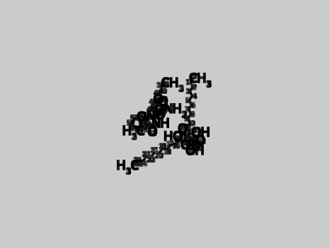 CCCCCCCCCCCCCC(CCCCCCCCCCCCC)(C(=O)O)C(C(=O)O)S(=O)(=O)O.CCCCOCC(CN1C(=O)NC(=O)C(CC)(c2ccccc2)C1=O)OC(N)=O